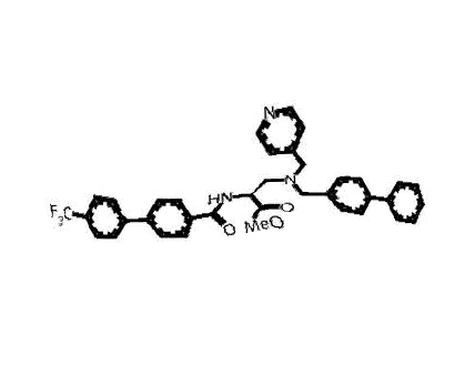 COC(=O)[C@H](CN(Cc1ccncc1)Cc1ccc(-c2ccccc2)cc1)NC(=O)c1ccc(-c2ccc(C(F)(F)F)cc2)cc1